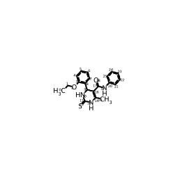 CCOc1ccccc1C1NC(=S)NC(C)=C1C(=O)Nc1ccccc1